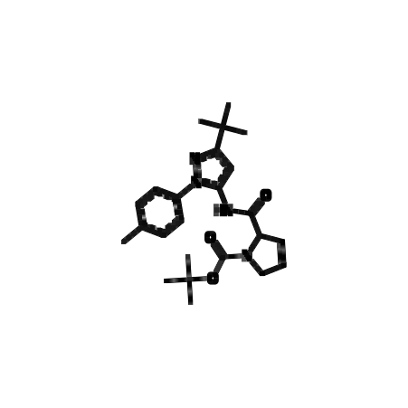 Cc1ccc(-n2nc(C(C)(C)C)cc2NC(=O)C2C=CCN2C(=O)OC(C)(C)C)cc1